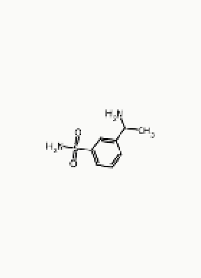 CC(N)c1cccc(S(N)(=O)=O)c1